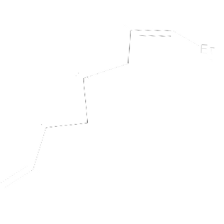 C=CCC[CH]C/C=C\CC